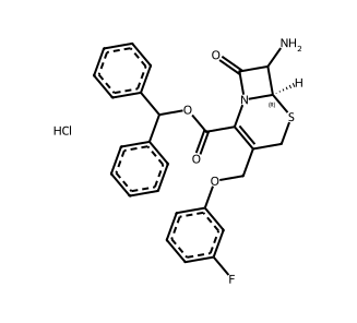 Cl.NC1C(=O)N2C(C(=O)OC(c3ccccc3)c3ccccc3)=C(COc3cccc(F)c3)CS[C@H]12